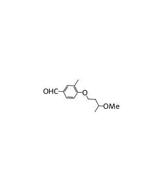 COC(C)CCOc1ccc(C=O)cc1C